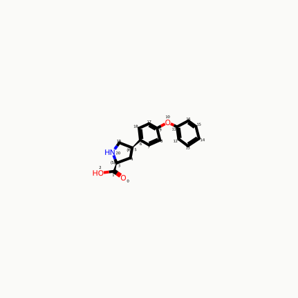 O=C(O)[C@@H]1C[C@H](c2ccc(Oc3ccccc3)cc2)CN1